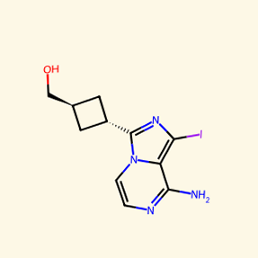 Nc1nccn2c1c(I)nc2[C@H]1C[C@H](CO)C1